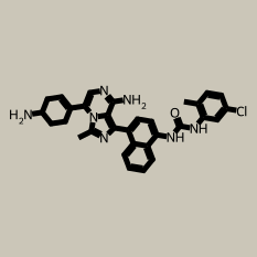 Cc1ccc(Cl)cc1NC(=O)Nc1ccc(-c2nc(C)n3c(C4=CCC(N)CC4)cnc(N)c23)c2ccccc12